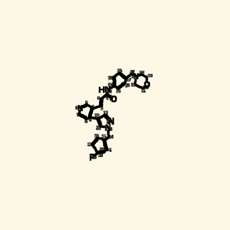 O=C(C=Cc1cnccc1-c1cnn(Cc2ccc(F)cc2)c1)Nc1ccc(CN2CCOCC2)cc1